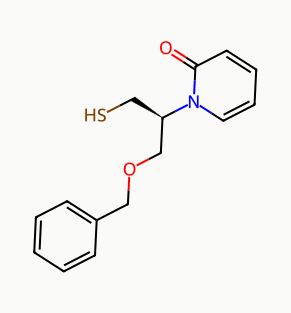 O=c1ccccn1[C@H](CS)COCc1ccccc1